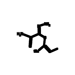 C/C=C(\O/C(=N\N)C(N)=O)C(C)(C)C